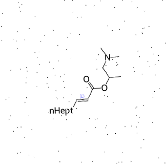 CCCCCCC/C=C/C(=O)OC(C)CN(C)C